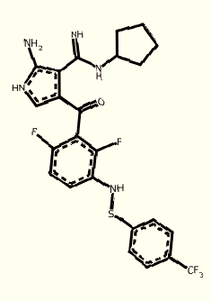 N=C(NC1CCCC1)c1c(C(=O)c2c(F)ccc(NSc3ccc(C(F)(F)F)cc3)c2F)c[nH]c1N